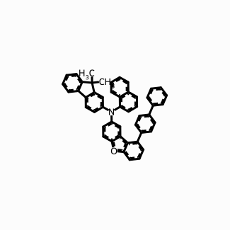 CC1(C)c2ccccc2-c2ccc(N(c3ccc4oc5cccc(-c6ccc(-c7ccccc7)cc6)c5c4c3)c3cccc4ccccc34)cc21